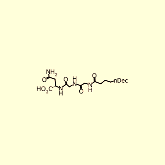 CCCCCCCCCCCCCC(=O)NCC(=O)NCC(=O)N[C@@H](CC(N)=O)C(=O)O